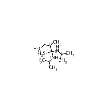 CCC(C)C([SiH3])(NC(C)C)NC(C)C